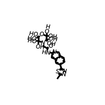 Cc1nnc(-c2ccc3cnc(NC(=O)CN4C(O)(O)C(O)(O)OC(O)(O)C4(O)O)cc3c2)s1